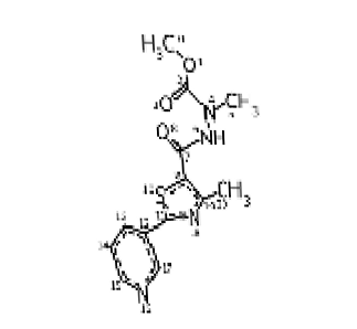 COC(=O)N(C)NC(=O)c1sc(-c2cccnc2)nc1C